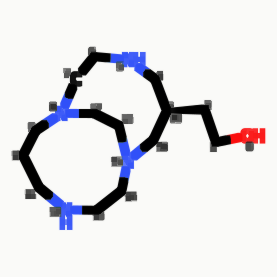 OCC[C@@H]1CNCCN2CCCNCCN(CC2)C1